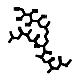 COC(=O)CN(C)C(=O)CN(C)C(=O)C(CCCN(C)C[C@H](O)[C@@H](O)[C@H](O)[C@H](O)CO)NC(=O)CN(C)C(=O)CN(C)C